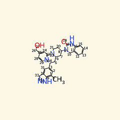 Cc1cc(CCC2CC(N3Cc4ccccc4NC3=O)CCN2c2cc(CO)ccn2)cc2cn[nH]c12